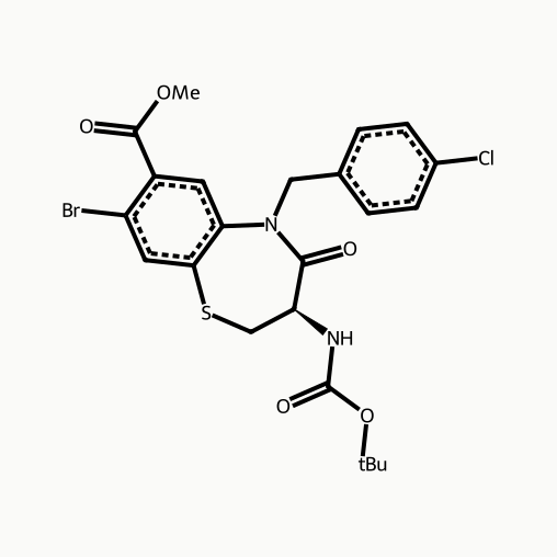 COC(=O)c1cc2c(cc1Br)SC[C@H](NC(=O)OC(C)(C)C)C(=O)N2Cc1ccc(Cl)cc1